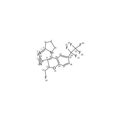 N#C/N=C1/CCCN1C1=C(CF)C(CF)Oc2ccc(C(F)(F)C(F)(F)F)cc21